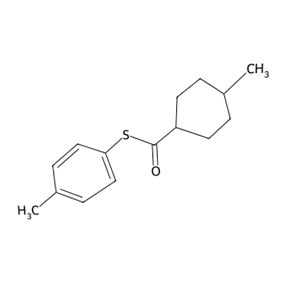 Cc1ccc(SC(=O)C2CCC(C)CC2)cc1